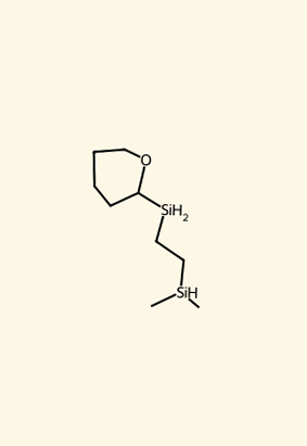 C[SiH](C)CC[SiH2]C1CCCCO1